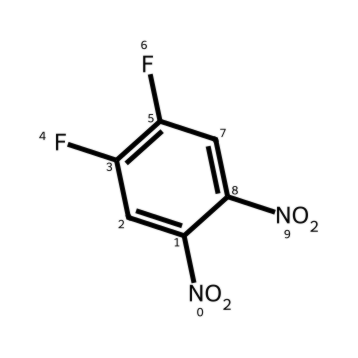 O=[N+]([O-])c1cc(F)c(F)cc1[N+](=O)[O-]